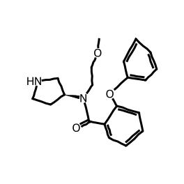 COCCN(C(=O)c1ccccc1Oc1ccccc1)[C@H]1CCNC1